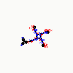 CN(C)c1ccc(C(c2ccc(OCCCC(=O)NCCNC(=O)CN3CCN(CC(=O)NCCNC(=O)c4cccc(O)c4O)CCN(CC(=O)NCCNC(=O)c4cccc(O)c4O)CCN(CC(=O)NCCNC(=O)c4cccc(O)c4O)CC3)cc2)c2ccc(N(C)C)cc2)cc1